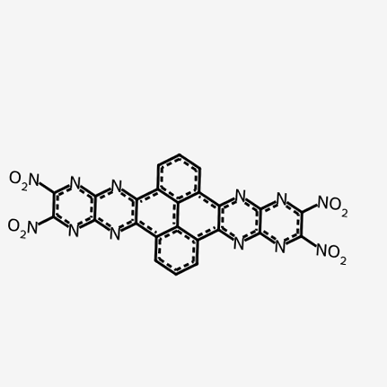 O=[N+]([O-])c1nc2nc3c4cccc5c6nc7nc([N+](=O)[O-])c([N+](=O)[O-])nc7nc6c6cccc(c3nc2nc1[N+](=O)[O-])c6c45